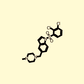 CN1CCN(Cc2ccc3c(ccn3S(=O)(=O)c3cccc(Cl)c3Cl)c2)CC1